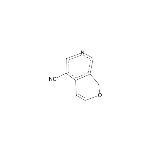 N#Cc1cncc2c1C=COC2